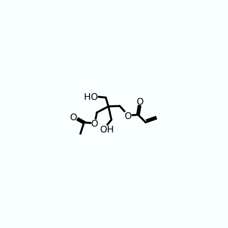 C=CC(=O)OCC(CO)(CO)COC(C)=O